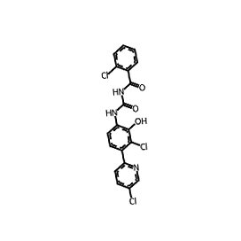 O=C(NC(=O)c1ccccc1Cl)Nc1ccc(-c2ccc(Cl)cn2)c(Cl)c1O